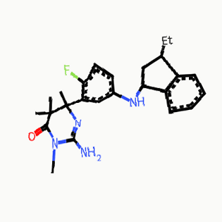 CCC1CC(Nc2ccc(F)c(C3(C)N=C(N)N(C)C(=O)C3(C)C)c2)c2ccccc21